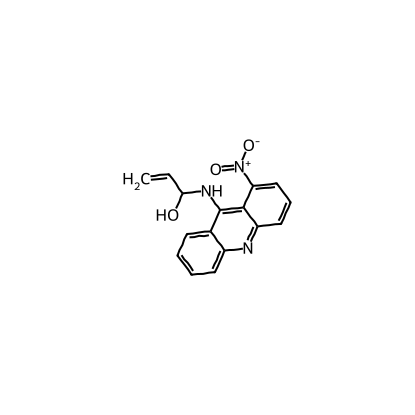 C=CC(O)Nc1c2ccccc2nc2cccc([N+](=O)[O-])c12